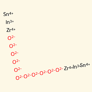 [In+3].[In+3].[O-2].[O-2].[O-2].[O-2].[O-2].[O-2].[O-2].[O-2].[O-2].[O-2].[O-2].[Sn+4].[Sn+4].[Zr+4].[Zr+4]